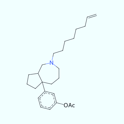 C=CCCCCCCN1CCCC2(c3cccc(OC(C)=O)c3)CCCC2C1